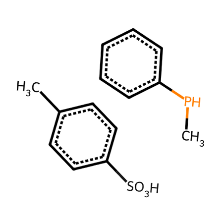 CPc1ccccc1.Cc1ccc(S(=O)(=O)O)cc1